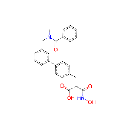 CN(Cc1cccc(-c2ccc(CC(C(=O)O)C(=O)NO)cc2)c1)C(=O)c1ccccc1